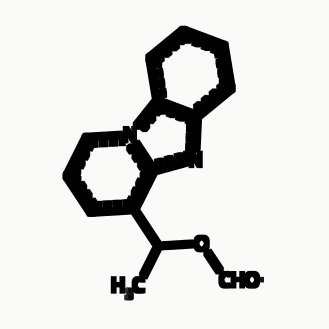 CC(O[C]=O)c1cccn2c1nc1ccccc12